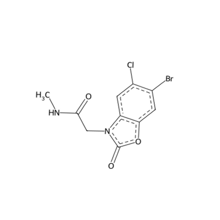 CNC(=O)Cn1c(=O)oc2cc(Br)c(Cl)cc21